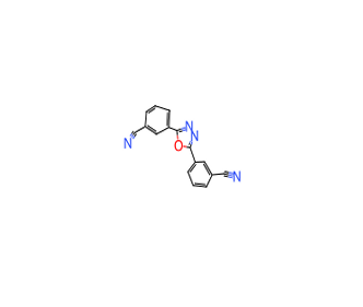 N#Cc1cccc(-c2nnc(-c3cccc(C#N)c3)o2)c1